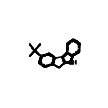 CC(C)(C)c1ccc2c(c1)-c1c([nH]c3ccccc13)C2